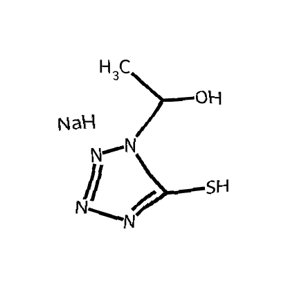 CC(O)n1nnnc1S.[NaH]